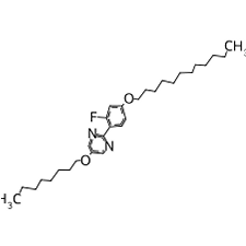 CCCCCCCCCCCCOc1ccc(-c2ncc(OCCCCCCCC)cn2)c(F)c1